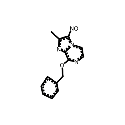 Cc1nc2c(OCc3ccccc3)nccn2c1N=O